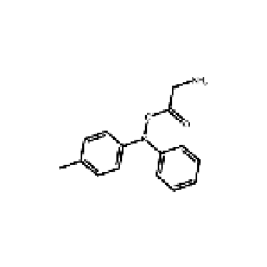 Cc1ccc(B(OC(=O)CN)c2ccccc2)cc1